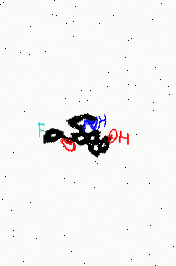 O=C(c1ccc(F)cc1)C1C=c2c(ccc3c2=CCc2ccc(O)cc2-3)C(C2=CC=CC=CN2)C1